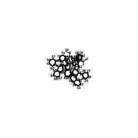 CCC(=O)N[B](NC(=O)CC)[Hf]([Cl])([Cl])([CH]1C(c2ccccc2)=Cc2c(-c3ccccc3-c3cccc4ccccc34)cccc21)[CH]1C(c2ccccc2)=Cc2c(-c3ccccc3-c3cccc4ccccc34)cccc21